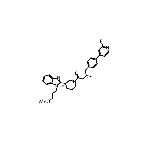 COCCCn1c([C@@H]2CCCN(C(=O)C[C@H](C)Cc3ccc(-c4ccnc(F)c4)cc3)C2)nc2ccccc21